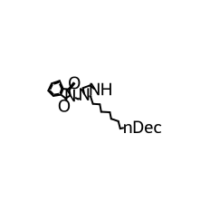 CCCCCCCCCCCCCCCCCC1NCCN1CN1C(=O)c2ccccc2C1=O